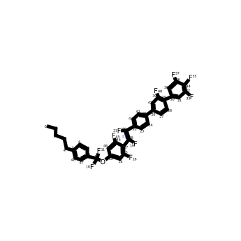 CCCCCc1ccc(C(F)(F)Oc2cc(F)c(/C(F)=C(\F)c3ccc(-c4ccc(-c5cc(F)c(F)c(F)c5)c(F)c4)cc3)c(F)c2)cc1